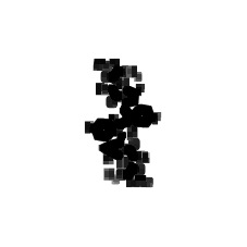 CC[C@H](NC(=O)[C@H](C)NC)C(=O)N1C[C@@H](F)C[C@H]1Cc1c(-c2nc3cc(F)ccc3n2C[C@@H]2C3C[C@H]3CN2C(=O)[C@H](CC)NC(=O)[C@H](C)NC)[nH]c2cc(F)ccc12